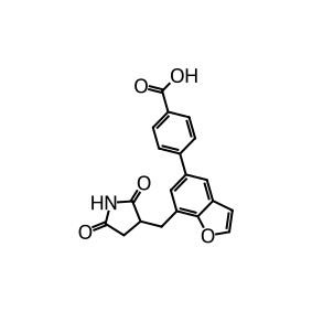 O=C1CC(Cc2cc(-c3ccc(C(=O)O)cc3)cc3ccoc23)C(=O)N1